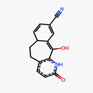 N#CC1=CC2=C(O)c3[nH]c(=O)ccc3CCC2C=C1